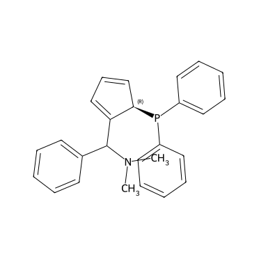 CN(C)C(C1=CC=C[C@H]1P(c1ccccc1)c1ccccc1)c1ccccc1